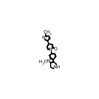 Cc1ccc(-c2ccn(-c3ccc4c5c(n(C)c4c3)CCNC5)c(=O)c2)cn1